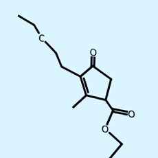 CCCCCC1=C(C)C(C(=O)OCC)CC1=O